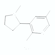 Cc1cnc(C)c(C2CCCN2C)c1.[NaH]